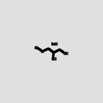 OCC(O)COCl.[NaH]